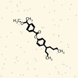 CCCCC(CCC)c1ccc(OC(=O)c2ccc(C(C)OC)cc2)cc1